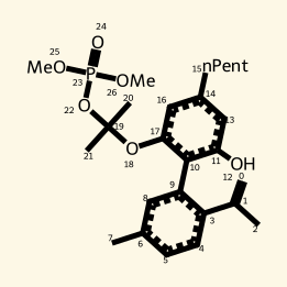 C=C(C)c1ccc(C)cc1-c1c(O)cc(CCCCC)cc1OC(C)(C)OP(=O)(OC)OC